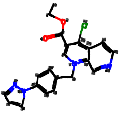 CCOC(=O)c1c[n+](Cc2ccc(-n3cccn3)cc2)c2cnccc2c1Cl